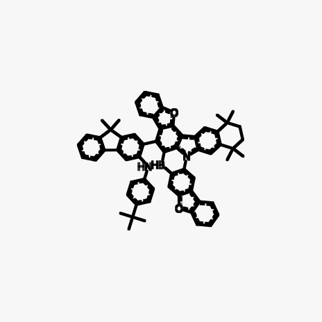 CC(C)(C)c1ccc(Nc2cc3c(cc2-c2c4c5c(c6cc7c(cc6n5-c5cc6c(cc5B4)oc4ccccc46)C(C)(C)CCC7(C)C)c4oc5ccccc5c24)C(C)(C)c2ccccc2-3)cc1